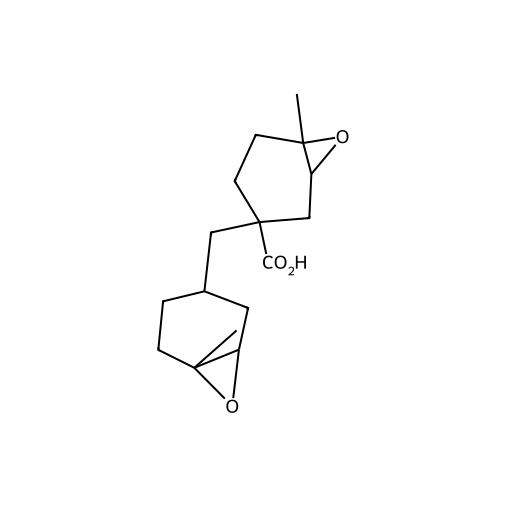 CC12CCC(CC3(C(=O)O)CCC4(C)OC4C3)CC1O2